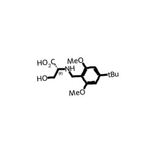 COc1cc(C(C)(C)C)cc(OC)c1CN[C@H](CO)C(=O)O